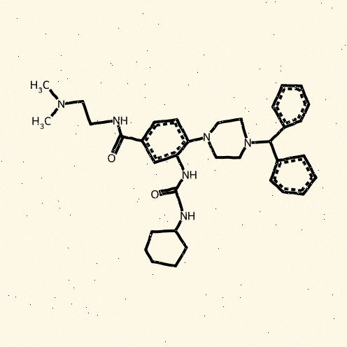 CN(C)CCNC(=O)c1ccc(N2CCN(C(c3ccccc3)c3ccccc3)CC2)c(NC(=O)NC2CCCCC2)c1